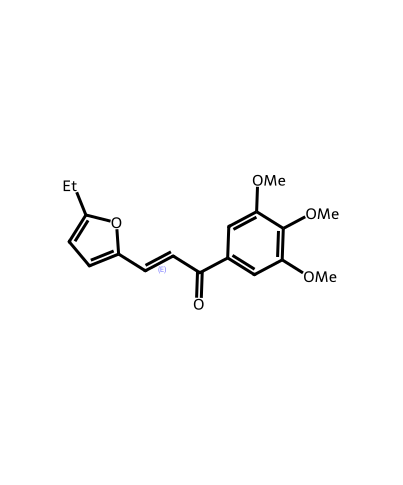 CCc1ccc(/C=C/C(=O)c2cc(OC)c(OC)c(OC)c2)o1